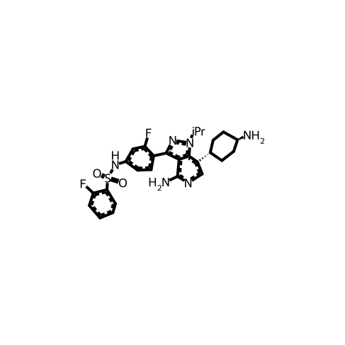 CC(C)n1nc(-c2ccc(NS(=O)(=O)c3ccccc3F)cc2F)c2c(N)ncc([C@H]3CC[C@H](N)CC3)c21